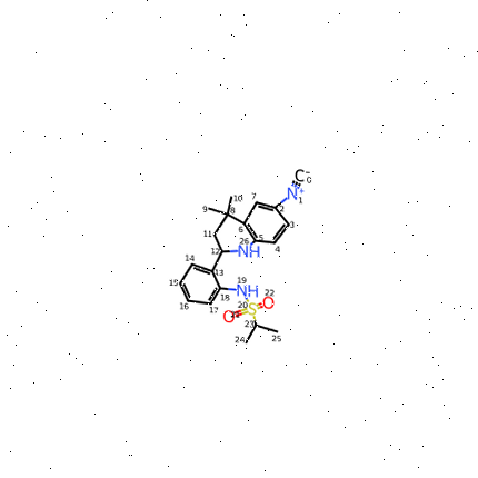 [C-]#[N+]c1ccc2c(c1)C(C)(C)CC(c1ccccc1NS(=O)(=O)C(C)C)N2